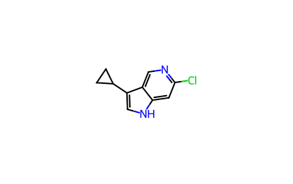 Clc1cc2[nH]cc(C3CC3)c2cn1